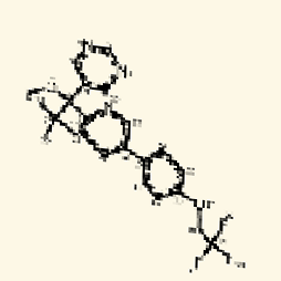 COC(c1cncnc1)(c1ccc(-c2ccc(OCC(F)(F)F)cc2)cn1)C(C)(C)C